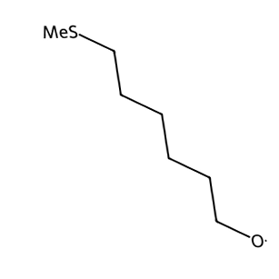 CSCCCCCC[O]